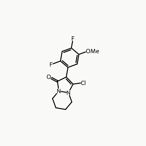 COc1cc(-c2c(Cl)n3n(c2=O)CCCC3)c(F)cc1F